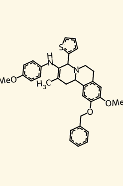 COc1ccc(NC2=C(C)CC3c4cc(OCc5ccccc5)c(OC)cc4CCN3C2c2cccs2)cc1